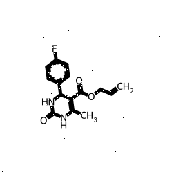 C=CCOC(=O)C1=C(C)NC(=O)NC1c1ccc(F)cc1